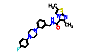 Cc1cn2c(C(=O)NCc3cccc(N4CCN(c5ccc(F)cc5)CC4)c3)c(C)nc2s1